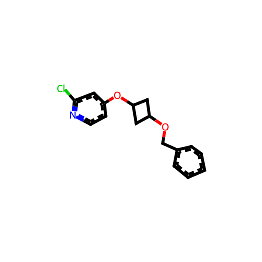 Clc1cc(OC2CC(OCc3ccccc3)C2)ccn1